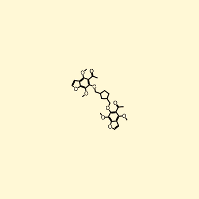 COc1c(C(C)=O)c(OCC2CCC(COc3c(C(C)=O)c(OC)c4ccoc4c3OC)C2)c(OC)c2occc12